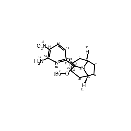 CC(C)(C)OC(=O)N1[C@@H]2CC[C@H]1CN(c1ccc([N+](=O)[O-])c(N)n1)CC2